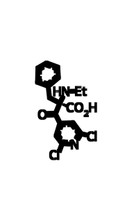 CCN[C@@](Cc1ccccc1)(C(=O)O)C(=O)c1cc(Cl)nc(Cl)c1